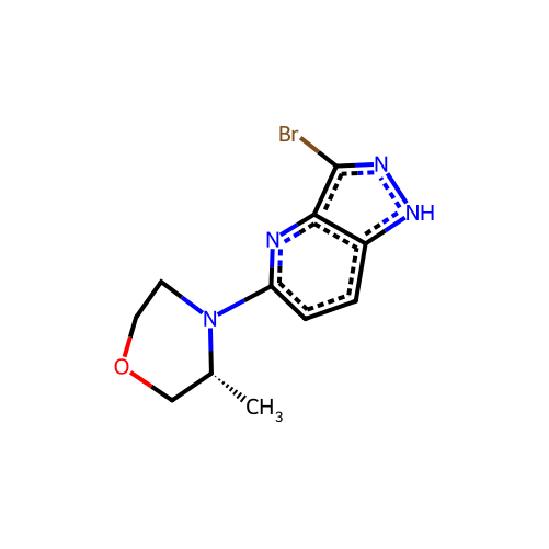 C[C@@H]1COCCN1c1ccc2[nH]nc(Br)c2n1